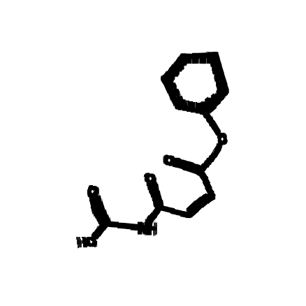 O=C(O)NC(=O)/C=C\C(=O)Oc1ccccc1